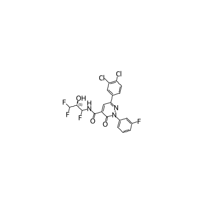 O=C(NC(F)[C@H](O)C(F)F)c1cc(-c2ccc(Cl)c(Cl)c2)nn(-c2cccc(F)c2)c1=O